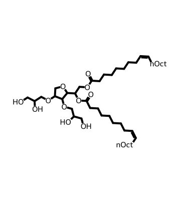 CCCCCCCC/C=C\CCCCCCCC(=O)OCC(OC(=O)CCCCCCC/C=C\CCCCCCCC)C1OCC(OCC(O)CO)C1OCC(O)CO